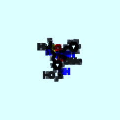 CCc1nc(C(Cc2ccc(NS(=O)(=O)O)cc2)NC(=O)C(Cc2ccccc2)NC(=O)OC)sc1C